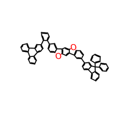 c1ccc(C2(c3ccccc3)c3ccccc3-c3ccc(-c4ccc5oc6cc7c(cc6c5c4)oc4ccc(-c5ccccc5-c5ccc6c8ccccc8c8ccccc8c6c5)cc47)cc32)cc1